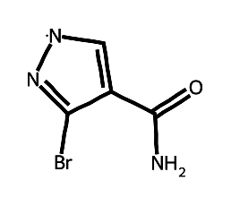 NC(=O)C1=C[N]N=C1Br